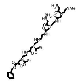 BBCC(=O)N(CCNC(=O)CN(CCNC)C(=O)CB)CC(=O)NCCNCCN(CC(=O)NCCN(CC(=O)C(=O)OCc1ccccc1)C(=O)CC)C(=O)CC